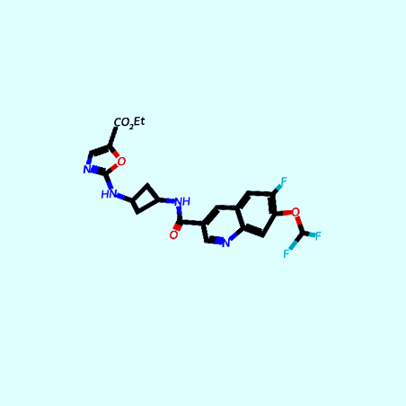 CCOC(=O)c1cnc(NC2CC(NC(=O)c3cnc4cc(OC(F)F)c(F)cc4c3)C2)o1